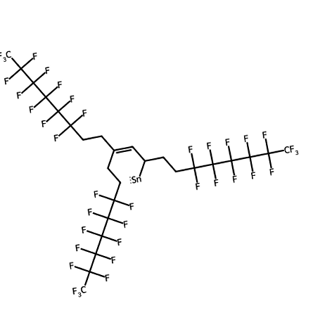 FC(F)(F)C(F)(F)C(F)(F)C(F)(F)C(F)(F)C(F)(F)CCC(=C[CH]([Sn])CCC(F)(F)C(F)(F)C(F)(F)C(F)(F)C(F)(F)C(F)(F)F)CCC(F)(F)C(F)(F)C(F)(F)C(F)(F)C(F)(F)C(F)(F)F